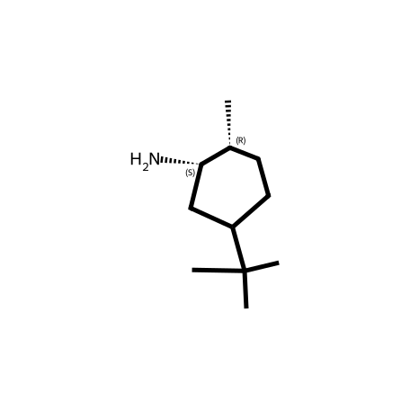 C[C@@H]1CCC(C(C)(C)C)C[C@@H]1N